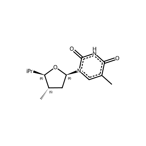 Cc1cn([C@H]2C[C@H](C)[C@@H](C(C)C)O2)c(=O)[nH]c1=O